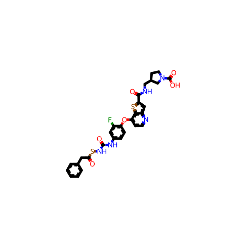 O=C(NSC(=O)Cc1ccccc1)Nc1ccc(Oc2ccnc3cc(C(=O)NCC4CCN(C(=O)O)C4)sc23)c(F)c1